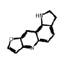 c1cc2nc3ccc4c(c3cc2o1)NCC4